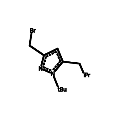 CC(C)Cc1cc(CBr)nn1C(C)(C)C